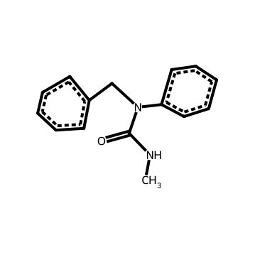 CNC(=O)N(Cc1ccccc1)c1ccccc1